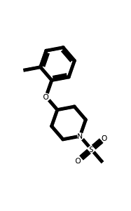 Cc1ccccc1OC1CCN(S(C)(=O)=O)CC1